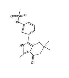 Cc1[nH]c(-c2cccc(NS(C)(=O)=O)c2)c2c1C(=O)CC(C)(C)C2